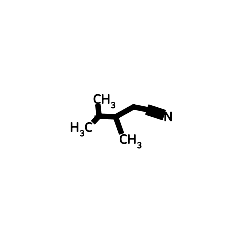 C[C](C)C(C)CC#N